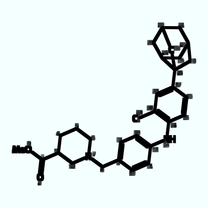 COC(=O)C1CCCN(Cc2ccc(Nc3ccc(C45CC6CC(CC4C6)C5)cc3Cl)cc2)C1